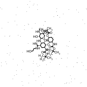 CNC(=O)O[C@H]1CC[C@@H](NC(=O)OC(C)(C)C)[C@H](O[C@H]2[C@@H](O)[C@@H](N[C@@H]3OC[C@](C)(O)[C@H](NC)[C@H]3O)[C@H](C(=N)NCCO)C[C@@H]2NC(=O)OC(C)(C)C)O1